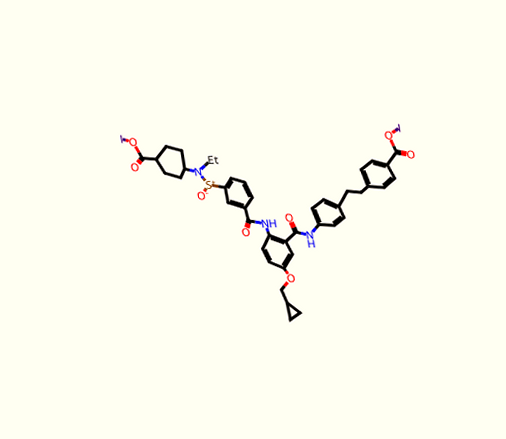 CCN(C1CCC(C(=O)OI)CC1)[S+]([O-])c1cccc(C(=O)Nc2ccc(OCC3CC3)cc2C(=O)Nc2ccc(CCc3ccc(C(=O)OI)cc3)cc2)c1